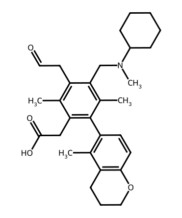 Cc1c(-c2c(C)c(CN(C)C3CCCCC3)c(CC=O)c(C)c2CC(=O)O)ccc2c1CCCO2